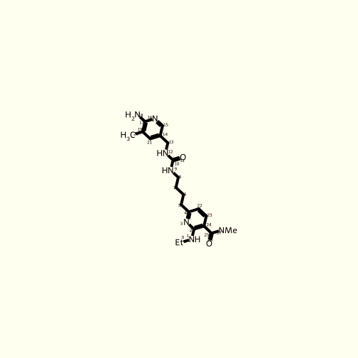 CCNc1nc(CCCCNC(=O)NCc2cnc(N)c(C)c2)ccc1C(=O)NC